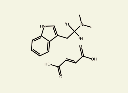 O=C(O)/C=C/C(=O)O.[2H]C([2H])(Cc1c[nH]c2ccccc12)N(C)C